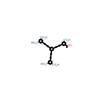 C=C(O)c1cc(C#CC#Cc2cc(C#CC#Cc3cc(C(=O)O)cc(C(=O)O)c3)cc(C#CC#Cc3cc(C(=O)O)cc(C(=O)O)c3)c2)cc(C(=O)O)c1